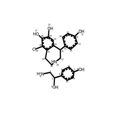 NCC(O)c1ccc(O)cc1.Oc1ccc(C2CNCCc3c2cc(O)c(O)c3Cl)cc1